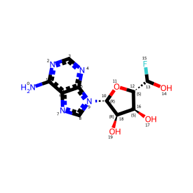 Nc1ncnc2c1ncn2[C@@H]1O[C@H](C(O)F)[C@@H](O)[C@H]1O